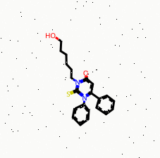 O=c1cc(-c2ccccc2)n(-c2ccccc2)c(=S)n1CCCCCCO